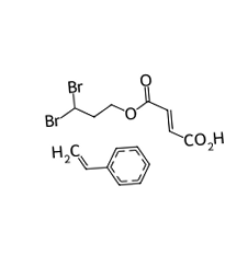 C=Cc1ccccc1.O=C(O)C=CC(=O)OCCC(Br)Br